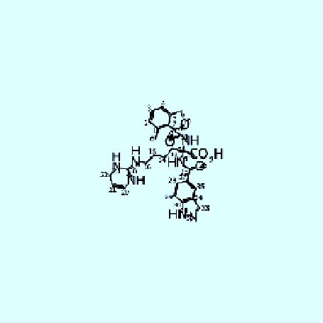 Cc1cccc(C)c1S(=O)(=O)NC(CCCCNC1NC=CCN1)(NC(=O)c1ccc2[nH]ncc2c1)C(=O)O